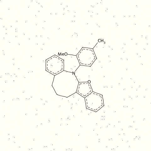 COc1cc(C)ccc1N1c2ccccc2CCCc2c1oc1ccccc21